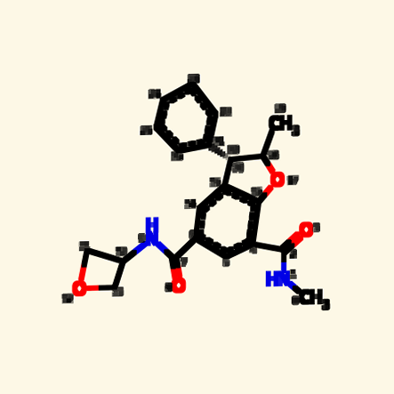 CNC(=O)c1cc(C(=O)NC2COC2)cc2c1OC(C)[C@H]2c1ccccc1